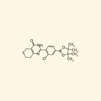 CC1(C)OB(c2ccc(-c3nc4c(c(=O)[nH]3)CSCC4)c(Cl)c2)OC1(C)C